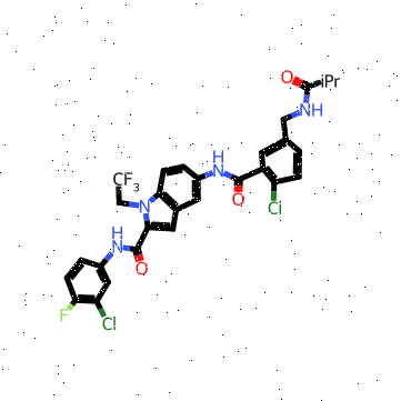 CC(C)C(=O)NCc1ccc(Cl)c(C(=O)Nc2ccc3c(c2)cc(C(=O)Nc2ccc(F)c(Cl)c2)n3CC(F)(F)F)c1